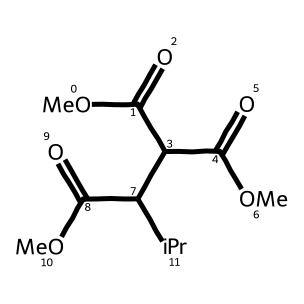 COC(=O)C(C(=O)OC)C(C(=O)OC)C(C)C